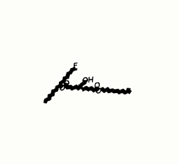 CCCCCCCCC(CCCCCCCCF)OC(=O)CCCCCN(CCO)CCCCCC(=O)OCCCCCCCCCCC(C)C